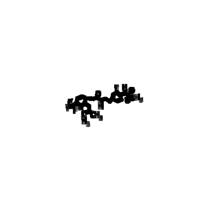 CC(C)Cc1nc(C(F)(F)F)ccc1C=CC(=O)NCCc1ccc(NS(C)(=O)=O)c(F)c1